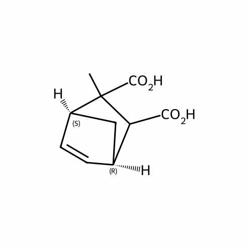 CC1(C(=O)O)C(C(=O)O)[C@H]2C=C[C@@H]1C2